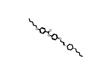 CCCCCOc1ccc(C(=O)Oc2ccc(OCC=C[C@H]3CC[C@H](CCCCC)CC3)cc2)cc1